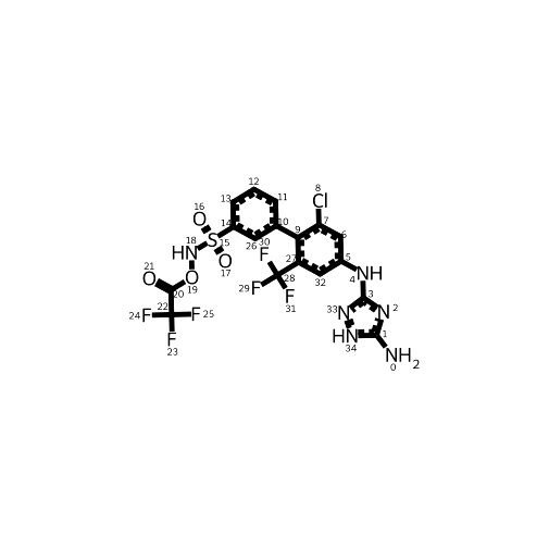 Nc1nc(Nc2cc(Cl)c(-c3cccc(S(=O)(=O)NOC(=O)C(F)(F)F)c3)c(C(F)(F)F)c2)n[nH]1